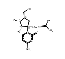 CCCC[C@@]1(n2ccc(N)nc2=O)O[C@H](CO)[C@@H](O)[C@H]1O.N=C(N)N